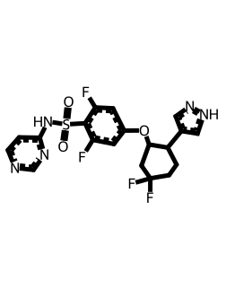 O=S(=O)(Nc1ccncn1)c1c(F)cc(OC2CC(F)(F)CCC2c2cn[nH]c2)cc1F